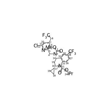 COC(=O)N(Cc1cc(CC(F)(F)F)cc(Cl)n1)[C@H]1C[C@@H](C2CC2)N(C(=O)OC(C)C)c2ccc(C(F)(F)F)cc21